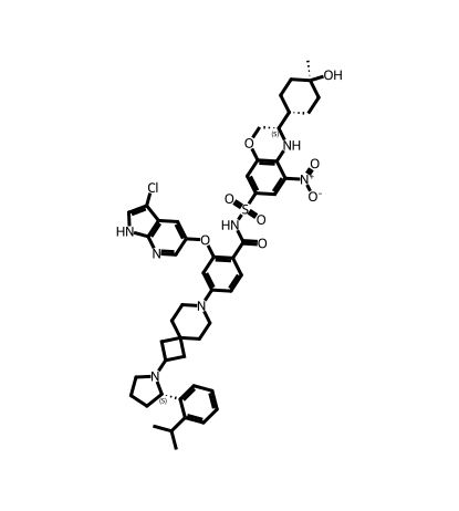 CC(C)c1ccccc1[C@@H]1CCCN1C1CC2(CCN(c3ccc(C(=O)NS(=O)(=O)c4cc5c(c([N+](=O)[O-])c4)N[C@@H]([C@H]4CC[C@](C)(O)CC4)CO5)c(Oc4cnc5[nH]cc(Cl)c5c4)c3)CC2)C1